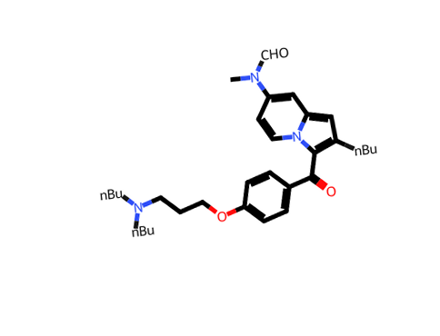 CCCCc1cc2cc(N(C)C=O)ccn2c1C(=O)c1ccc(OCCCN(CCCC)CCCC)cc1